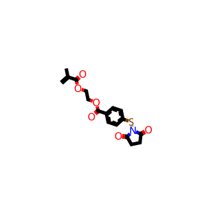 C=C(C)C(=O)OCCOC(=O)c1ccc(SN2C(=O)CCC2=O)cc1